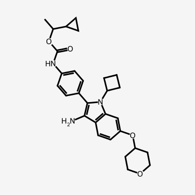 CC(OC(=O)Nc1ccc(-c2c(N)c3ccc(OC4CCOCC4)cc3n2C2CCC2)cc1)C1CC1